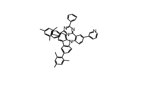 Cc1cc(C)c(-c2ccc3c(c2)c2cc(-c4c(C)cc(C)cc4C)ccc2n3-c2ccc(-c3cccnc3)cc2-c2nc(-c3ccccc3)nc(-c3ccccc3)n2)c(C)c1